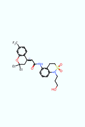 CCC1(CC)C/C(=C\C(=O)Nc2cccc3c2CCS(=O)(=O)N3CCCO)c2ccc(C(F)(F)F)cc2O1